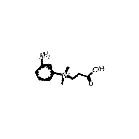 C[N+](C)(CCC(=O)O)c1cccc(N)c1